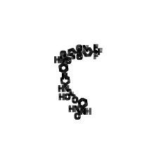 O=c1[nH]c2cccc(OC[C@@H](O)CNC3CCN(c4ccc(NS(=O)(=O)c5ccc(S(=O)(=O)c6ccc(C(F)(F)F)cn6)s5)cc4)CC3)c2[nH]1